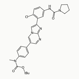 CN(C(=O)OC(C)(C)C)c1ccc(-c2cnc3nc(-c4cc(NC(=O)N5CCCC5)ccc4Cl)cn3c2)cc1